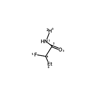 [2H]NC(=O)C(F)CC